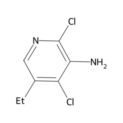 CCc1cnc(Cl)c(N)c1Cl